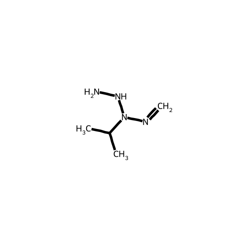 C=NN(NN)C(C)C